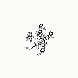 CC(C)C[C@H](NC(=O)[C@H](Cc1c[nH]c2ccccc12)NC(=O)CNC(=O)[C@H](Cc1ccc(O)cc1)NC(=O)[C@H](C)NC(=O)CCCC(=O)O)C(=O)N[C@@H](CC(=O)O)C(=O)N[C@@H](Cc1ccccc1)C(N)=O.NC(CO)(CO)CO